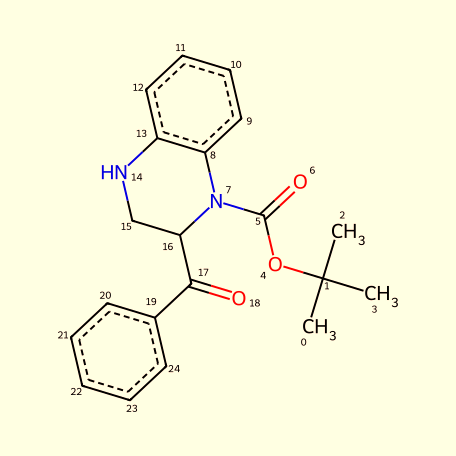 CC(C)(C)OC(=O)N1c2ccccc2NCC1C(=O)c1ccccc1